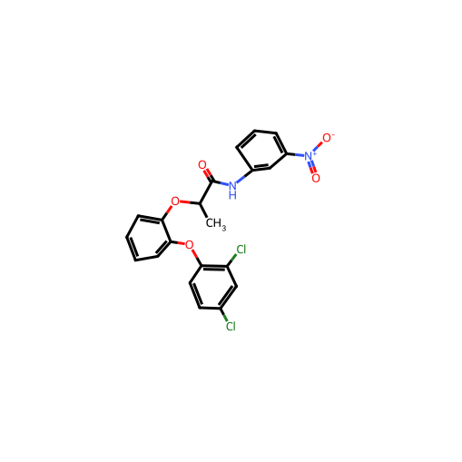 CC(Oc1ccccc1Oc1ccc(Cl)cc1Cl)C(=O)Nc1cccc([N+](=O)[O-])c1